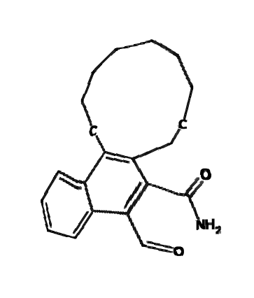 NC(=O)c1c2c(c3ccccc3c1C=O)CCCCCCCCC2